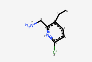 CCc1ccc(Cl)nc1CN